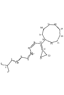 CC(C)CSC/C=N\C=C/C(=C1CC1)C1CCCCCCCC1